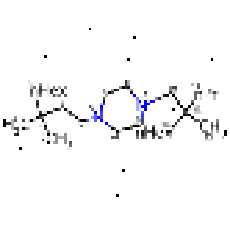 CCCCCCC(C)(C)CCN1CCN(CC(C)(CCC)CCCCCC)CC1